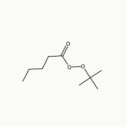 CCCCC(=O)OOC(C)(C)C